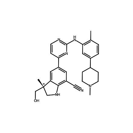 Cc1ccc(C2CCN(C)CC2)cc1Nc1nccc(-c2cc(C#N)c3c(c2)[C@@](C)(CO)CN3)n1